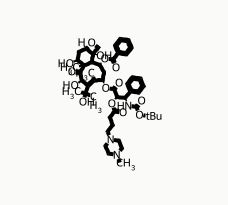 C/C1=C(/C(C)(C)O)[C@@H](O)C(=O)[C@@]2(C)C([C@H](OC(=O)c3ccccc3)C[C@@H]1OC(=O)[C@H](OC(=O)CCCN1CCN(C)CC1)[C@@H](NC(=O)OC(C)(C)C)c1ccccc1)[C@]1(O)CO[C@@H]1C[C@@H]2O